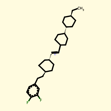 CC[C@H]1CC[C@H](C2CCC(/C=C/[C@H]3CC[C@H](CCc4ccc(F)c(F)c4)CC3)CC2)CC1